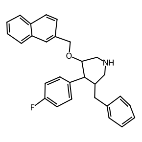 Fc1ccc(C2C(Cc3ccccc3)CNCC2OCc2ccc3ccccc3c2)cc1